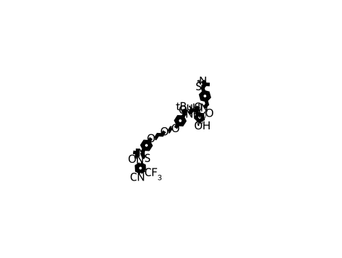 Cc1ncsc1-c1ccc(CNC(=O)[C@@H]2C[C@@H](O)CC2C(=O)[C@@H](NC(=O)c2ccc(OCCOCCCOc3ccc(N4C(=S)N(c5ccc(C#N)c(C(F)(F)F)c5)C(=O)C4(C)C)cc3)cc2)C(C)(C)C)cc1